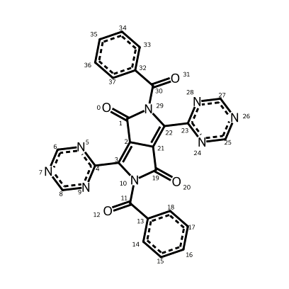 O=C1C2=C(c3ncncn3)N(C(=O)c3ccccc3)C(=O)C2=C(c2ncncn2)N1C(=O)c1ccccc1